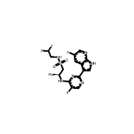 CC(C)(C)[C@@H](CS(=O)(=O)NCC(F)F)Nc1nc(-c2c[nH]c3ncc(F)cc23)ncc1F